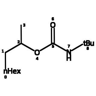 CCCCCCCC(C)OC(=O)NC(C)(C)C